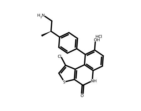 C[C@@H](CN)c1ccc(-c2c(O)ccc3[nH]c(=O)c4scc(Cl)c4c23)cc1.Cl